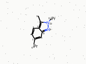 Cc1c2ccc(C(C)C)cc2nn1C(C)C